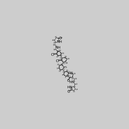 Cc1c(-c2ccn3c(=O)c(CNC[C@H]4CCC(=O)N4)cnc3c2)cccc1-c1cccc(-c2ccc(CNC[C@@H]3CCC(=O)N3)c(Cl)c2)c1Cl